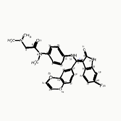 CN(C)CC(=O)N(C)c1ccc(N/C(=C2\C(=O)Nc3cc(F)ccc32)c2ccc3c(c2)OC=CO3)cc1